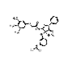 CC(=O)NC1(Nc2ccccc2)C(=O)N(c2ccccc2)N=C1NC(=O)COc1cc(C)c(C)c(C)c1.CCNCC